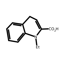 CCN1C(C(=O)O)=CCc2ccccc21